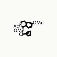 COc1ccc2c(c1)CCN(C(C)=O)C2OC.ClC1CC2CC1O2